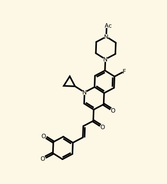 CC(=O)N1CCN(c2cc3c(cc2F)c(=O)c(C(=O)/C=C/C2=CC(=O)C(=O)C=C2)cn3C2CC2)CC1